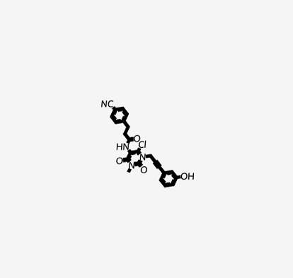 Cn1c(=O)c(NC(=O)CCc2ccc(C#N)cc2)c(Cl)n(CC#Cc2cccc(O)c2)c1=O